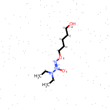 CCN(CC)/[N+]([O-])=N/OCCCCCO